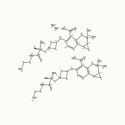 C[C@@](N)(CN1CC(Oc2ccc3c(c2C(=O)O)O[B-](O)(O)C2CC32)C1)C(=O)NCCO.C[C@@](N)(CN1CC(Oc2ccc3c(c2C(=O)O)O[B-](O)(O)C2CC32)C1)C(=O)NCCO.[Na+].[Na+]